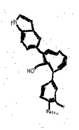 CC(=O)Nc1ccc(-c2cccc(-c3ccc4[nH]ccc4c3)c2O)cc1F